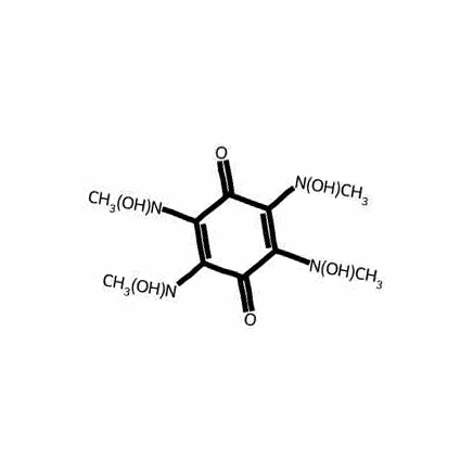 CN(O)C1=C(N(C)O)C(=O)C(N(C)O)=C(N(C)O)C1=O